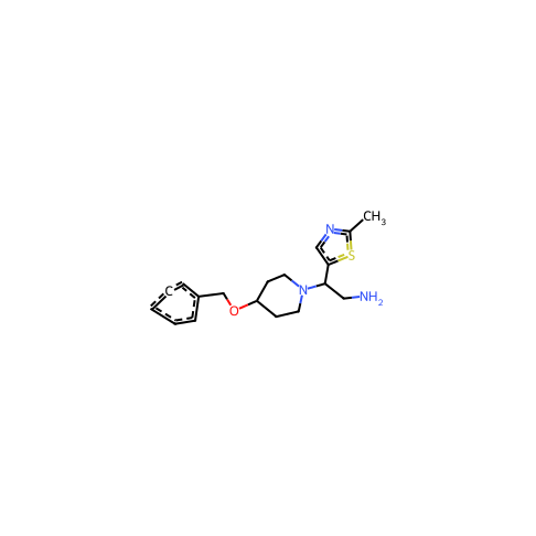 Cc1ncc(C(CN)N2CCC(OCc3ccccc3)CC2)s1